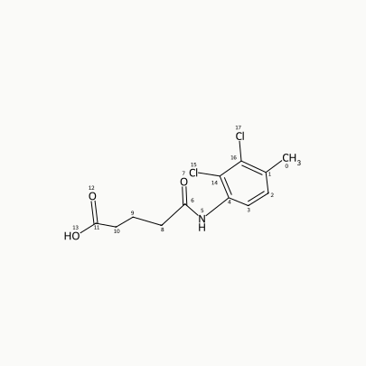 Cc1ccc(NC(=O)CCCC(=O)O)c(Cl)c1Cl